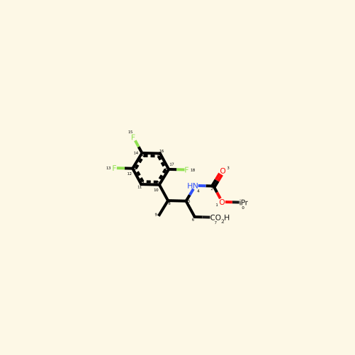 CC(C)OC(=O)NC(CC(=O)O)C(C)c1cc(F)c(F)cc1F